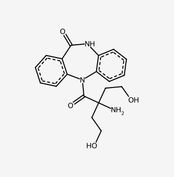 NC(CCO)(CCO)C(=O)N1c2ccccc2NC(=O)c2ccccc21